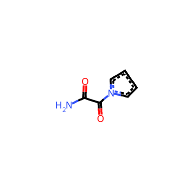 NC(=O)C(=O)n1cccc1